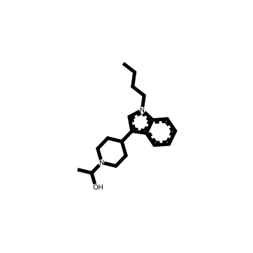 CCCCn1cc(C2CCN([C](C)O)CC2)c2ccccc21